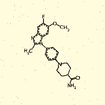 COc1cc2c(cc1F)nc(C)n2-c1ccc(N2CCC(C(N)=O)CC2)cc1